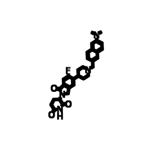 CN(C)c1ccc2cc(CN3CCC(c4cc5c(cc4F)C(=O)N(C4CCC(=O)NC4=O)C5)CC3)ccc2c1